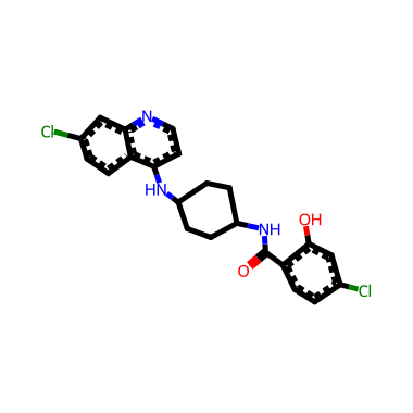 O=C(NC1CCC(Nc2ccnc3cc(Cl)ccc23)CC1)c1ccc(Cl)cc1O